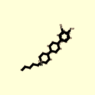 CCCCC[SiH]1CCC(C2CCC(c3ccc(F)c(F)c3)CC2)CC1